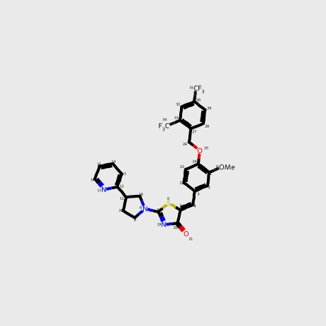 COc1cc(/C=C2\SC(N3CCC(c4ccccn4)C3)=NC2=O)ccc1OCc1ccc(C(F)(F)F)cc1C(F)(F)F